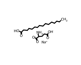 CCCCCCCCCCCCCCCC(=O)O.NC(CCC(=O)O)C(=O)[O-].[Na+]